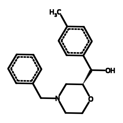 Cc1ccc(C(O)[C@H]2CN(Cc3ccccc3)CCO2)cc1